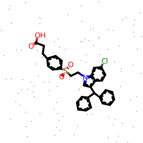 O=C(O)CCc1ccc(S(=O)(=O)CCn2cc(C(c3ccccc3)c3ccccc3)c3ccc(Cl)cc32)cc1